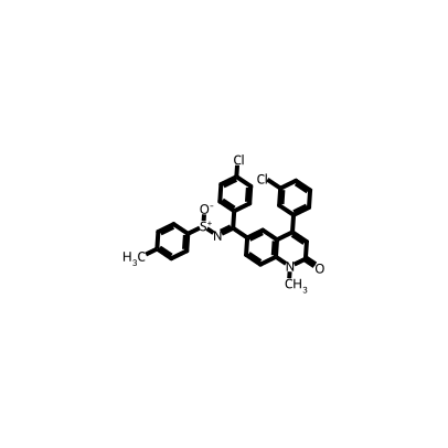 Cc1ccc([S+]([O-])N=C(c2ccc(Cl)cc2)c2ccc3c(c2)c(-c2cccc(Cl)c2)cc(=O)n3C)cc1